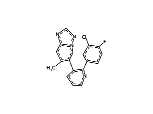 Cc1cc2ncnn2cc1-c1cccnc1-c1ccc(F)c(Cl)c1